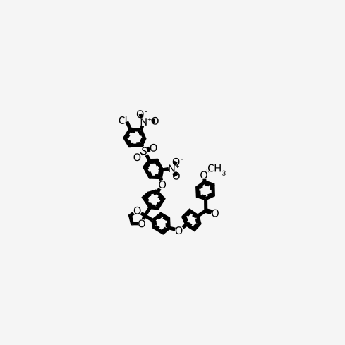 COc1ccc(C(=O)c2ccc(Oc3ccc(C4(c5ccc(Oc6ccc(S(=O)(=O)c7ccc(Cl)c([N+](=O)[O-])c7)cc6[N+](=O)[O-])cc5)OCCO4)cc3)cc2)cc1